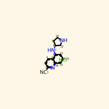 Cl.N#Cc1ccc2c(N[C@H]3CCNC3)cccc2n1